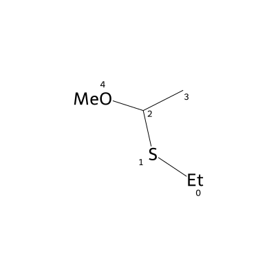 CCSC(C)OC